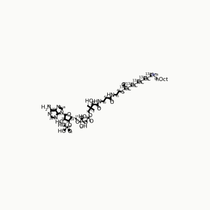 CC(C)(COP(=O)(O)OP(=O)(O)OC[C@H]1O[C@@H](n2cnc3c(N)ncnc32)[C@H](O)[C@@H]1OP(=O)(O)O)[C@@H](O)C(=O)NCCC(=O)NCCS[13C](=O)[13CH2][13CH2][13CH2][13CH2][13CH2][13CH2][13CH2]/[13CH]=[13CH]\[13CH2][13CH2][13CH2][13CH2][13CH2][13CH2][13CH2][13CH3]